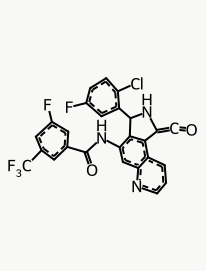 O=C=C1NC(c2cc(F)ccc2Cl)c2c(NC(=O)c3cc(F)cc(C(F)(F)F)c3)cc3ncccc3c21